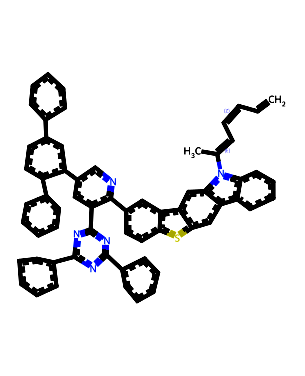 C=C/C=C\C=C(/C)n1c2ccccc2c2cc3sc4ccc(-c5ncc(-c6cc(-c7ccccc7)ccc6-c6ccccc6)cc5-c5nc(-c6ccccc6)nc(-c6ccccc6)n5)cc4c3cc21